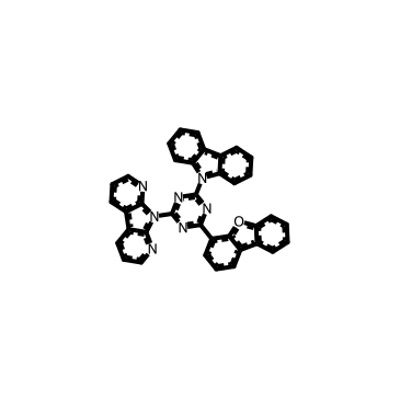 c1ccc2c(c1)oc1c(-c3nc(-n4c5ccccc5c5ccccc54)nc(-n4c5ncccc5c5cccnc54)n3)cccc12